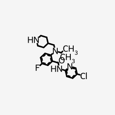 CC(C)N(CC1CCNCC1)c1ccc(F)cc1C(=O)Nc1ccc(Cl)cn1